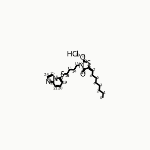 CCCCCCCC=C1SC(=O)N(CCCCSc2cccc3nccn23)C1=O.Cl